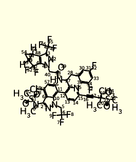 CN(c1nn(CC(F)(F)F)c2c(-c3ccc(C#CC(C)(C)S(C)(=O)=O)nc3C(Cc3cc(F)cc(F)c3)NC(=O)Cn3nc(C(F)(F)F)c4c3C(F)(F)[C@@H]3C[C@H]43)ccc(Cl)c12)S(C)(=O)=O